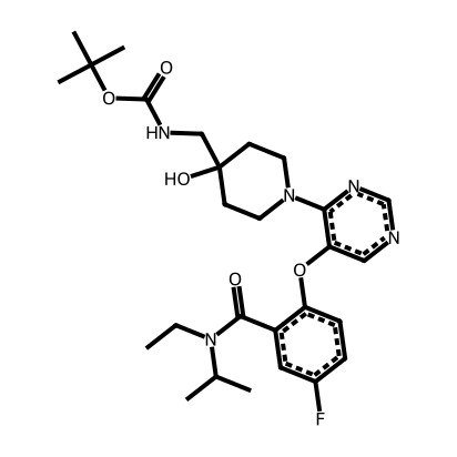 CCN(C(=O)c1cc(F)ccc1Oc1cncnc1N1CCC(O)(CNC(=O)OC(C)(C)C)CC1)C(C)C